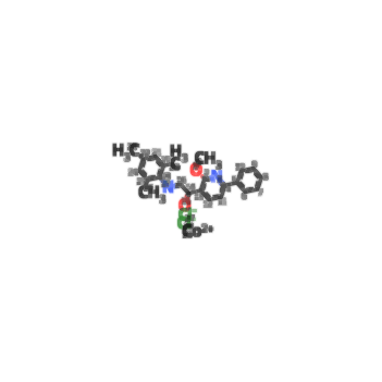 COc1nc(-c2ccccc2)ccc1C(=O)C=Nc1c(C)cc(C)cc1C.[Cl-].[Cl-].[Co+2]